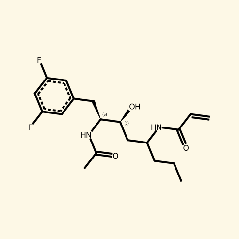 C=CC(=O)NC(CCC)C[C@H](O)[C@H](Cc1cc(F)cc(F)c1)NC(C)=O